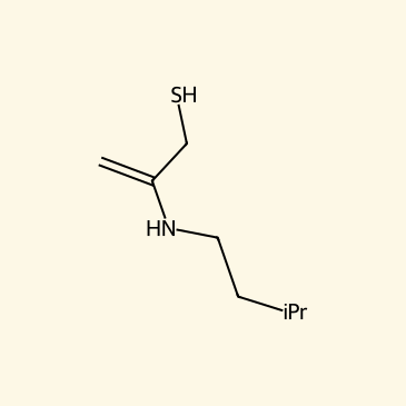 C=C(CS)NCCC(C)C